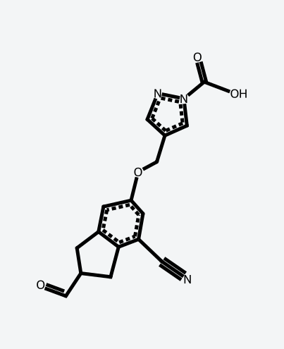 N#Cc1cc(OCc2cnn(C(=O)O)c2)cc2c1CC(C=O)C2